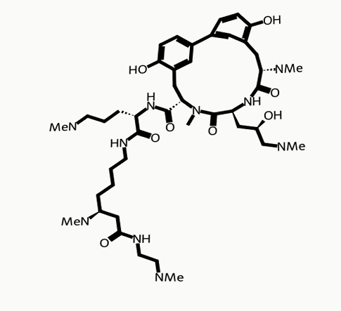 CNCCC[C@H](NC(=O)[C@@H]1Cc2cc(ccc2O)-c2ccc(O)c(c2)C[C@H](NC)C(=O)N[C@@H](C[C@@H](O)CNC)C(=O)N1C)C(=O)NCCCC[C@@H](CC(=O)NCCNC)NC